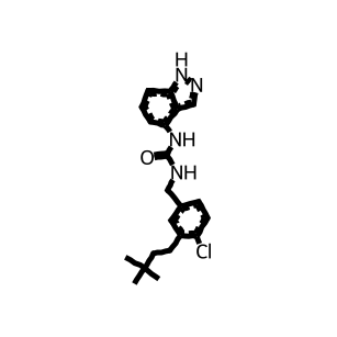 CC(C)(C)CCc1cc(CNC(=O)Nc2cccc3[nH]ncc23)ccc1Cl